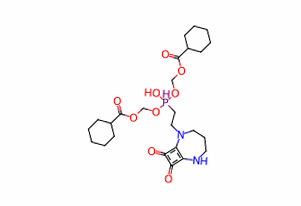 O=C(OCO[PH](O)(CCN1CCCNc2c1c(=O)c2=O)OCOC(=O)C1CCCCC1)C1CCCCC1